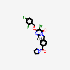 Cc1nc(OCc2ccc(F)cc2F)c(Br)c(=O)n1Cc1ccc(C(=O)N2CCCC2)cc1